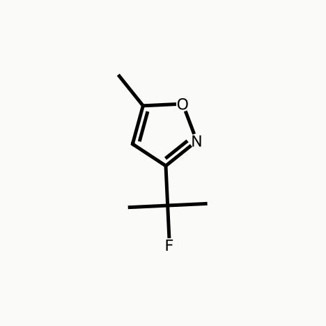 Cc1cc(C(C)(C)F)no1